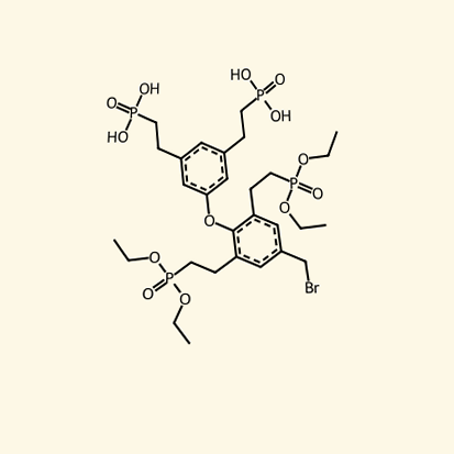 CCOP(=O)(CCc1cc(CBr)cc(CCP(=O)(OCC)OCC)c1Oc1cc(CCP(=O)(O)O)cc(CCP(=O)(O)O)c1)OCC